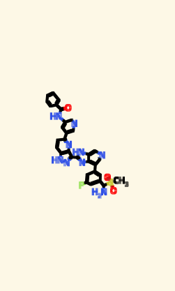 CS(=O)(=O)C(N)c1cc(F)cc(-c2cncc3[nH]c(-c4n[nH]c5ccc(-c6cncc(NC(=O)c7ccccc7)c6)nc45)nc23)c1